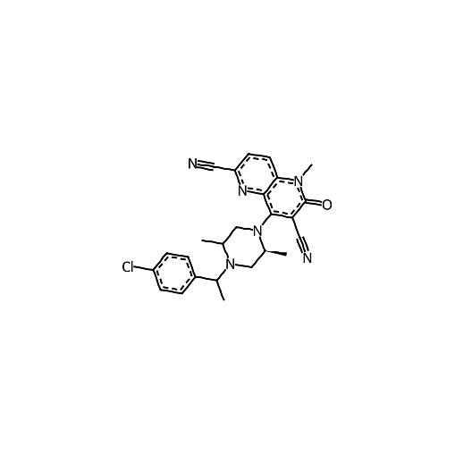 CC1CN(c2c(C#N)c(=O)n(C)c3ccc(C#N)nc23)[C@@H](C)CN1C(C)c1ccc(Cl)cc1